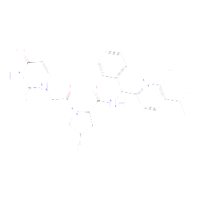 CC(C)c1ccc(C(NC(=O)C2CC(F)CN2C(=O)Cn2ccc(=O)[nH]c2=O)c2ccccc2)nc1F